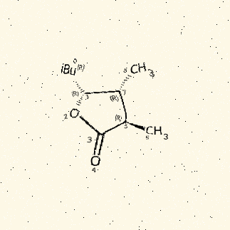 CC[C@@H](C)[C@H]1OC(=O)[C@H](C)[C@H]1C